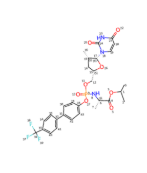 CC(C)OC(=O)[C@H](C)NP(=O)(OC[C@@H]1C[C@H](C)[C@H](n2ccc(=O)[nH]c2=O)O1)Oc1ccc(-c2ccc(C(F)(F)F)cc2)cc1